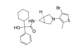 Cc1scc(Br)c1N1CC2[C@H](C1)[C@H]2NC(=O)C(O)(c1ccccc1)C1CCCCC1